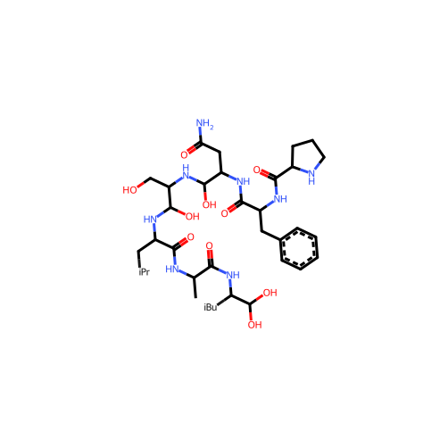 CCC(C)C(NC(=O)C(C)NC(=O)C(CC(C)C)NC(O)C(CO)NC(O)C(CC(N)=O)NC(=O)C(Cc1ccccc1)NC(=O)C1CCCN1)C(O)O